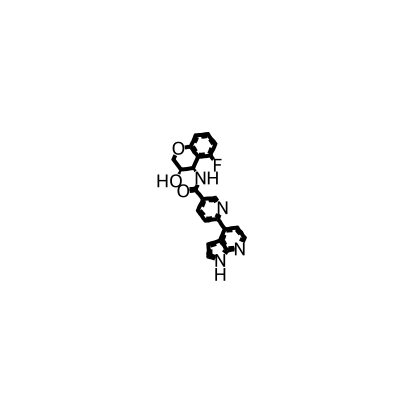 O=C(N[C@@H]1c2c(F)cccc2OC[C@@H]1O)c1ccc(-c2ccnc3[nH]ccc23)nc1